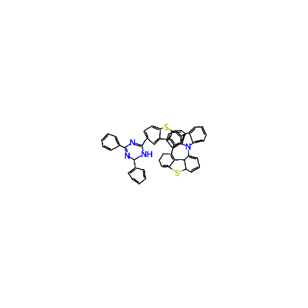 C1=CC2SC3=CCCC(c4cccc5sc6ccc(C7=NC(c8ccccc8)=NC(c8ccccc8)N7)cc6c45)=C3C2C(n2c3ccccc3c3ccccc32)=C1